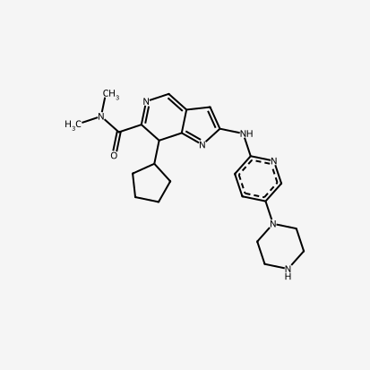 CN(C)C(=O)C1=NC=C2C=C(Nc3ccc(N4CCNCC4)cn3)N=C2C1C1CCCC1